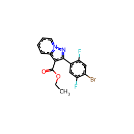 CCOC(=O)c1c(-c2cc(F)c(Br)cc2F)nn2ccccc12